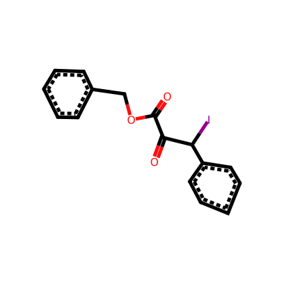 O=C(OCc1ccccc1)C(=O)C(I)c1ccccc1